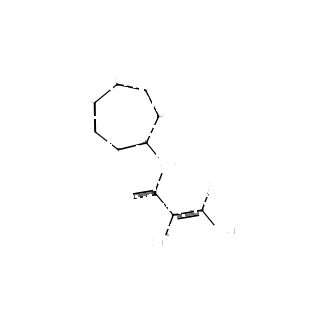 CCC(C(=O)OC1CCCCCC1)=C(C)C